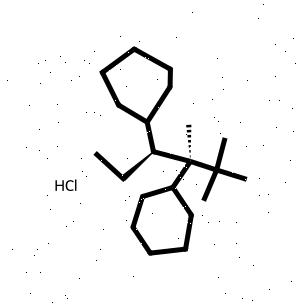 CC[C@@H](C1CCCCC1)[C@](C)(C1CCCCC1)C(C)(C)C.Cl